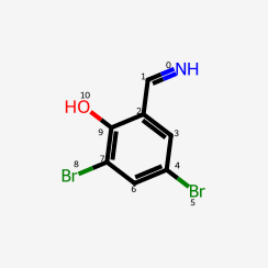 N=Cc1cc(Br)cc(Br)c1O